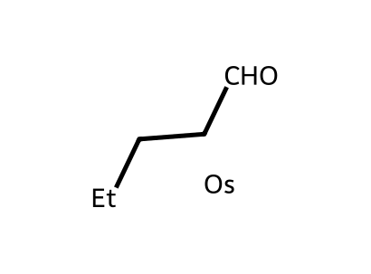 CCCCC=O.[Os]